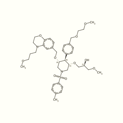 COCCCN1CCOc2ccc(CO[C@H]3CN(S(=O)(=O)c4ccc(C)cc4)C[C@@H](OC[C@@H](O)COC)[C@@H]3c3ccc(COCCOC)cc3)cc21